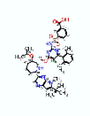 Cc1cccc(C)c1-c1nc(NS(=O)(=O)c2cccc(C(=O)O)c2)nc(OC[C@@H]2N[C@H](c3cnc4cc(C(C)(C)C)n(C)c4n3)CCC[C@H]2OC(C)C)c1F